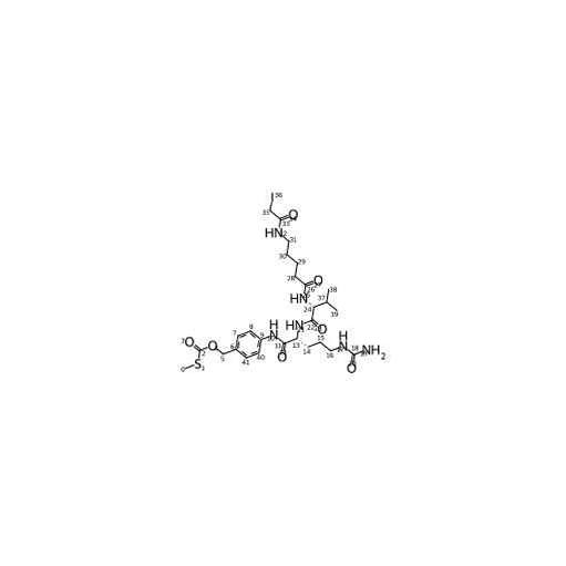 CSC(=O)OCc1ccc(NC(=O)[C@@H](CCCNC(N)=O)NC(=O)[C@H](NC(=O)CCCCNC(=O)CI)C(C)C)cc1